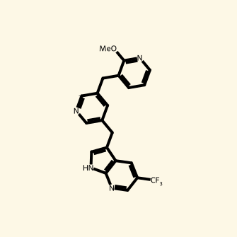 COc1ncccc1Cc1[c]ncc(Cc2c[nH]c3ncc(C(F)(F)F)cc23)c1